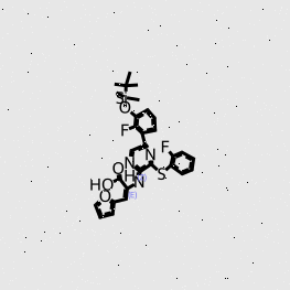 CC(C)(C)[Si](C)(C)Oc1cccc(-c2c[nH]/c(=N\C(=C\c3ccco3)C(=O)O)c(Sc3ccccc3F)n2)c1F